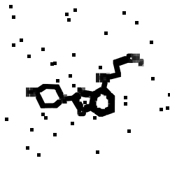 C=CCNc1cccc2oc(N3CCNCC3)nc12